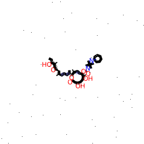 CC[C@H](O)[C@@H](C)[C@H]1O[C@@H]1C[C@H](C)/C=C/C=C(\C)[C@H]1OC(=O)C[C@H](O)CC[C@@](C)(O)[C@@H](OC(=O)N2CC3(C2)C[N+](C)(C2CCCCCC2)C3)/C=C/[C@@H]1C